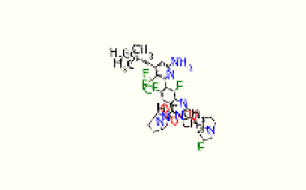 CC(C)(C)OC(=O)N1C2CCC1CN(c1nc(OC[C@@]34CCCN3C[C@H](F)C4)nc3c(F)c(-c4nc(N)cc(C#C[Si](C)(C)C)c4C(F)(F)F)c(Cl)cc13)C2